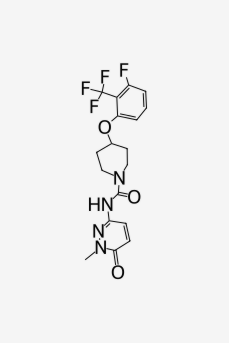 Cn1nc(NC(=O)N2CCC(Oc3cccc(F)c3C(F)(F)F)CC2)ccc1=O